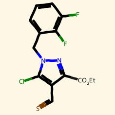 CCOC(=O)c1nn(Cc2cccc(F)c2F)c(Cl)c1C=S